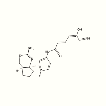 N=C/C(O)=C\C=C\C(=O)Nc1ccc(F)c([C@]23CCC[C@H]2CSC(N)=N3)c1